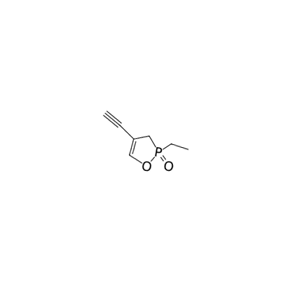 C#CC1=COP(=O)(CC)C1